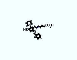 O=C(O)CCC/C=C/C[C@@H]1[C@@H](N2CCCCC2)[C@H](O)C[C@@H]1OCc1ccccc1